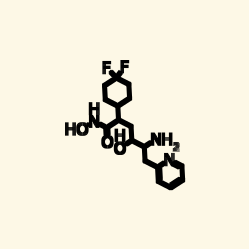 NC(Cc1ccccn1)C(O)CC(C(=O)NO)C1CCC(F)(F)CC1